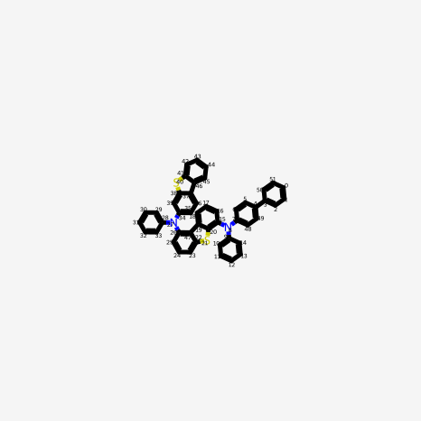 c1ccc(-c2ccc(N(c3ccccc3)c3cccc4c3sc3cccc(N(c5ccccc5)c5ccc6c(c5)sc5ccccc56)c34)cc2)cc1